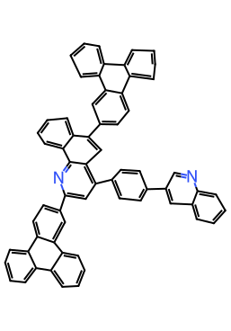 c1ccc2ncc(-c3ccc(-c4cc(-c5ccc6c7ccccc7c7ccccc7c6c5)nc5c4cc(-c4ccc6c7ccccc7c7ccccc7c6c4)c4ccccc45)cc3)cc2c1